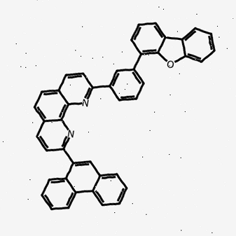 c1cc(-c2ccc3ccc4ccc(-c5cc6ccccc6c6ccccc56)nc4c3n2)cc(-c2cccc3c2oc2ccccc23)c1